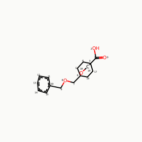 O=C(O)C12CCC(COCc3ccccc3)(CC1)OC2